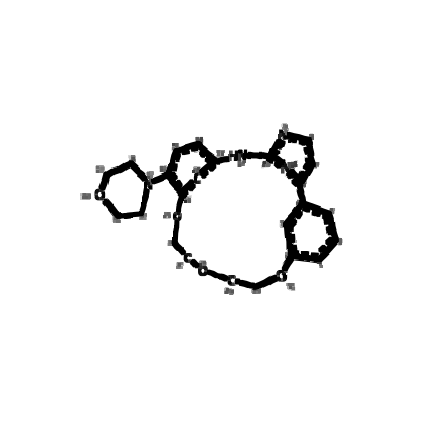 c1cc2cc(c1)-c1ccnc(n1)Nc1ccc(N3CCOCC3)c(c1)OCCOCCO2